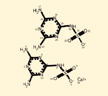 Nc1nc(N)nc(NS(=O)(=O)[O-])n1.Nc1nc(N)nc(NS(=O)(=O)[O-])n1.[Ca+2]